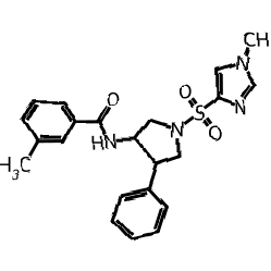 Cc1cccc(C(=O)NC2CN(S(=O)(=O)c3cn(C)cn3)CC2c2ccccc2)c1